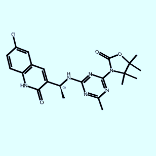 Cc1nc(N[C@@H](C)c2cc3cc(Cl)ccc3[nH]c2=O)nc(N2C(=O)OC(C)(C)C2(C)C)n1